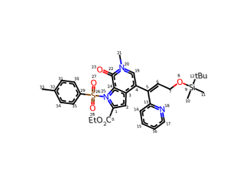 CCOC(=O)c1cc2c(C(=CCO[Si](C)(C)C(C)(C)C)c3ccccn3)cn(C)c(=O)c2n1S(=O)(=O)c1ccc(C)cc1